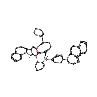 c1ccc(-c2ccc(N(c3ccc(-c4cccc5c4ccc4ccccc45)cc3)c3ccccc3-c3cccc4c3oc3c5ccccc5ccc43)cc2)cc1